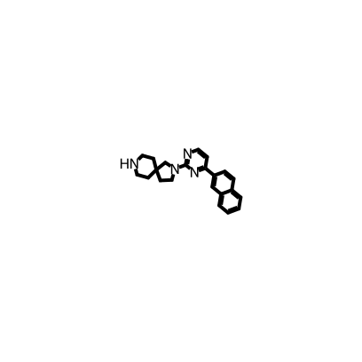 c1ccc2cc(-c3ccnc(N4CCC5(CCNCC5)C4)n3)ccc2c1